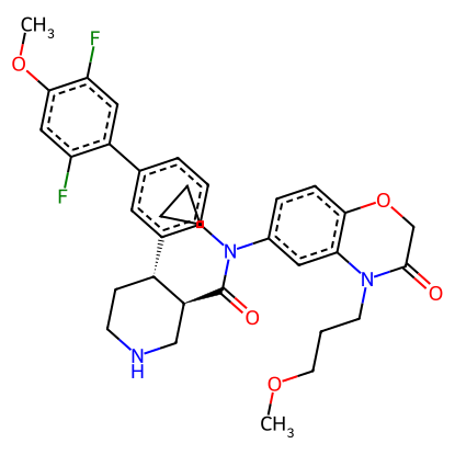 COCCCN1C(=O)COc2ccc(N(C(=O)[C@H]3CNCC[C@@H]3c3cccc(-c4cc(F)c(OC)cc4F)c3)C3CC3)cc21